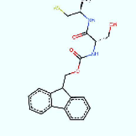 O=C(N[C@@H](CO)C(=O)N[C@@H](CS)C(=O)O)OCC1c2ccccc2-c2ccccc21